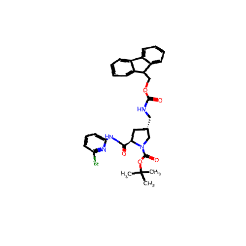 CC(C)(C)OC(=O)N1C[C@@H](CNC(=O)OCC2c3ccccc3-c3ccccc32)C[C@@H]1C(=O)Nc1cccc(Br)n1